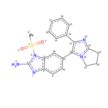 CC(C)S(=O)(=O)n1c(N)nc2ccc(-c3c(-c4ccccc4)nc4n3CCC4)cc21